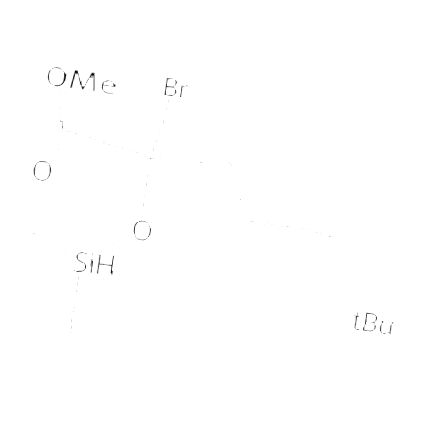 COC(=O)C(Br)(CCCC(C)(C)C)O[SiH](C)C